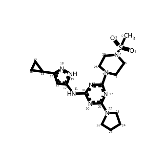 CS(=O)(=O)N1CCN(c2nc(Nc3cc(C4CC4)n[nH]3)nc(N3CCCC3)n2)CC1